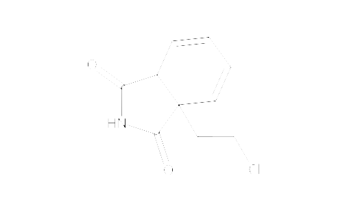 O=C1NC(=O)C2(CCCl)C=CC=CC12